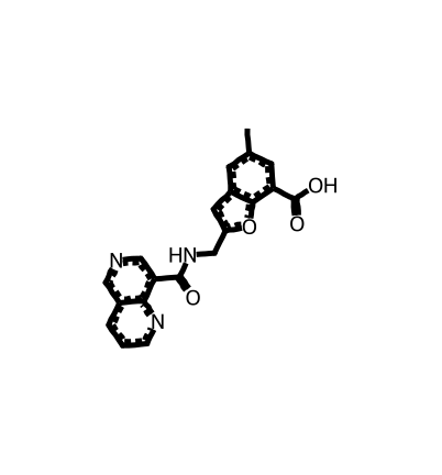 Cc1cc(C(=O)O)c2oc(CNC(=O)c3cncc4cccnc34)cc2c1